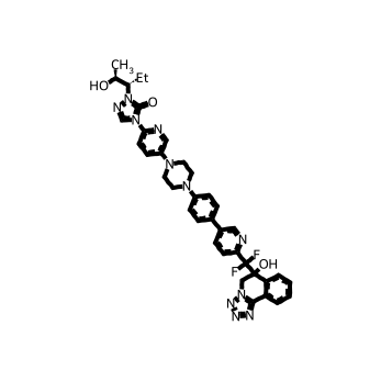 CC[C@@H]([C@H](C)O)n1ncn(-c2ccc(N3CCN(c4ccc(-c5ccc(C(F)(F)C6(O)Cn7nnnc7-c7ccccc76)nc5)cc4)CC3)cn2)c1=O